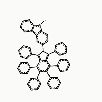 CCn1c2ccccc2c2cc(C3C(c4ccccc4)=c4c(-c5ccccc5)c(-c5ccccc5)c(-c5ccccc5)c(-c5ccccc5)c4=C3c3ccccc3)ccc21